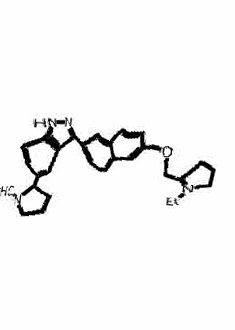 CCN1CCCC1COc1ccc2cc(-c3n[nH]c4ccc(C5CCCN5C=O)cc34)ccc2c1